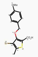 COc1ccc(COc2c(C(=O)O)sc(C)c2Br)cc1